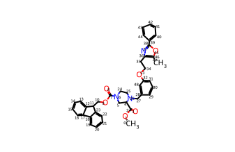 COC(=O)C1CN(C(=O)OCC2c3ccccc3-c3ccccc32)CCN1Cc1cccc(OCCc2nc(-c3ccccc3)oc2C)c1